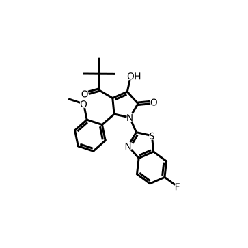 COc1ccccc1C1C(C(=O)C(C)(C)C)=C(O)C(=O)N1c1nc2ccc(F)cc2s1